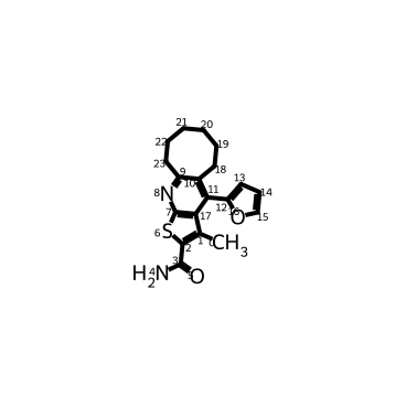 Cc1c(C(N)=O)sc2nc3c(c(-c4ccco4)c12)CCCCCC3